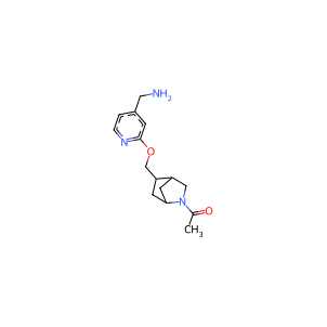 CC(=O)N1CC2CC1CC2COc1cc(CN)ccn1